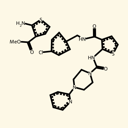 COC(=O)c1ccsc1N.O=C(NCc1ccc(Cl)cc1)c1ccsc1NC(=O)N1CCN(c2ccccn2)CC1